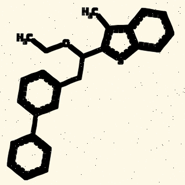 CCOC(Cc1cccc(-c2ccccc2)c1)c1sc2ccccc2c1C